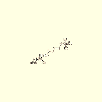 CCCNC(=S)NSCCCCC[Si](CC)(CC)CC